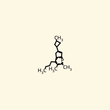 CCCCc1c(C)c(C)pc2c1CC(C1CC(C)C1)=C2